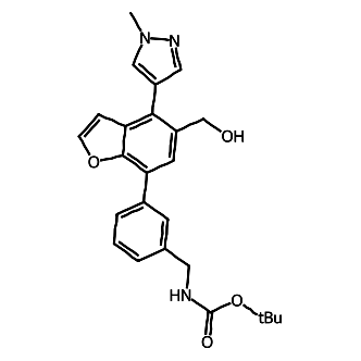 Cn1cc(-c2c(CO)cc(-c3cccc(CNC(=O)OC(C)(C)C)c3)c3occc23)cn1